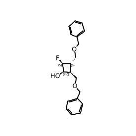 O[C@H]1[C@@H](F)[C@H](COCc2ccccc2)[C@H]1COCc1ccccc1